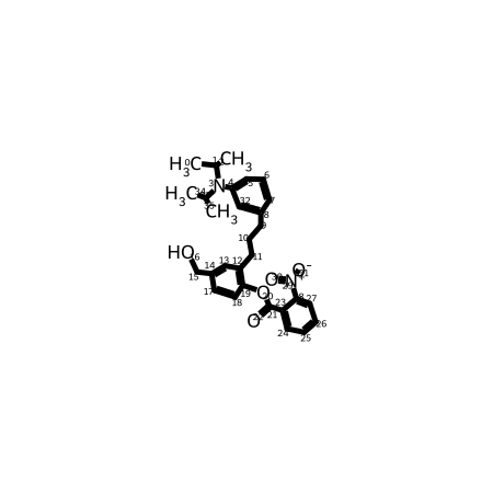 CC(C)N(c1cccc(CCCc2cc(CO)ccc2OC(=O)c2ccccc2[N+](=O)[O-])c1)C(C)C